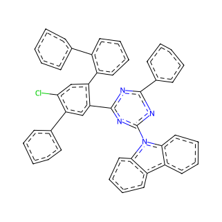 Clc1cc(-c2ccccc2-c2ccccc2)c(-c2nc(-c3ccccc3)nc(-n3c4ccccc4c4ccccc43)n2)cc1-c1ccccc1